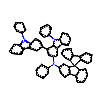 c1ccc(N(c2ccc3c(c2)C2(c4ccccc4-c4ccccc42)c2ccccc2-3)c2cc(-c3ccc4c(c3)c3ccccc3n4-c3ccccc3)c3c(c2)c2ccccc2n3-c2ccccc2)cc1